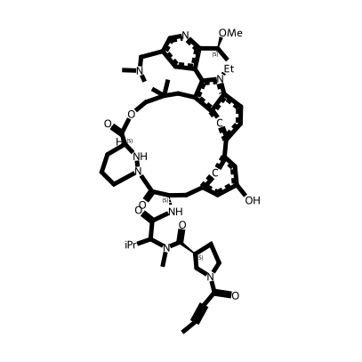 CC#CC(=O)N1CC[C@H](C(=O)N(C)C(C(=O)N[C@H]2Cc3cc(O)cc(c3)-c3ccc4c(c3)c(c(-c3cc(CN(C)C)cnc3[C@H](C)OC)n4CC)CC(C)(C)COC(=O)[C@@H]3CCCN(N3)C2=O)C(C)C)C1